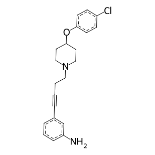 Nc1cccc(C#CCCN2CCC(Oc3ccc(Cl)cc3)CC2)c1